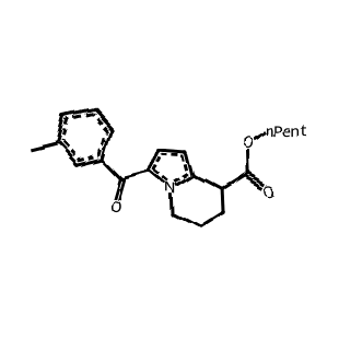 CCCCCOC(=O)C1CCCn2c(C(=O)c3cccc(C)c3)ccc21